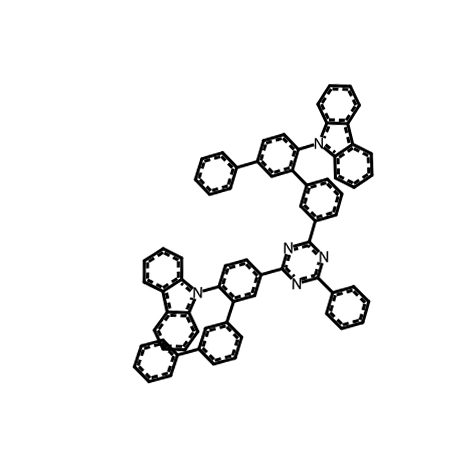 c1ccc(-c2cccc(-c3cc(-c4nc(-c5ccccc5)nc(-c5cccc(-c6cc(-c7ccccc7)ccc6-n6c7ccccc7c7ccccc76)c5)n4)ccc3-n3c4ccccc4c4ccccc43)c2)cc1